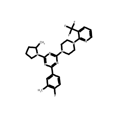 Cc1cc(-c2nc(N3CCN(c4ncccc4C(F)(F)F)CC3)nc(N3CCCC3C)n2)ccc1F